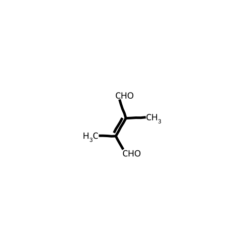 C/C(C=O)=C(/C)C=O